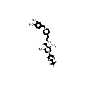 Cc1cc(CN2CCC(CCNC(=O)N3[C@H](C)CN(c4cnc(C(F)(F)F)nc4)C[C@@H]3C)CC2)ccc1O